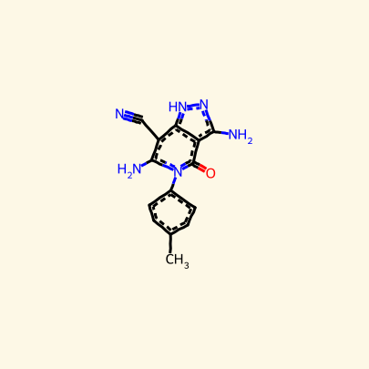 Cc1ccc(-n2c(N)c(C#N)c3[nH]nc(N)c3c2=O)cc1